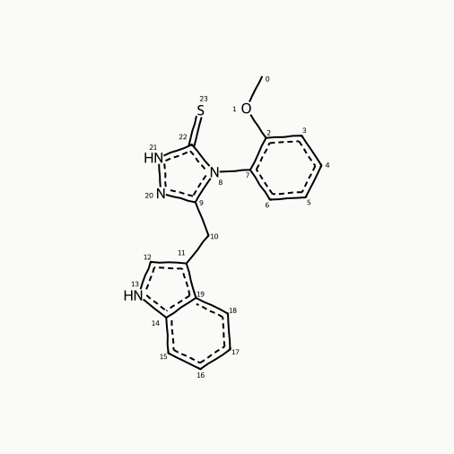 COc1ccccc1-n1c(Cc2c[nH]c3ccccc23)n[nH]c1=S